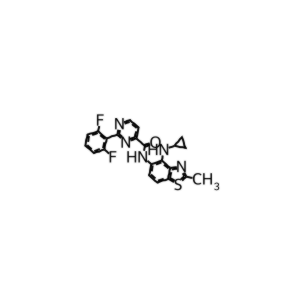 Cc1nc2c(NC3CC3)c(NC(=O)c3ccnc(-c4c(F)cccc4F)n3)ccc2s1